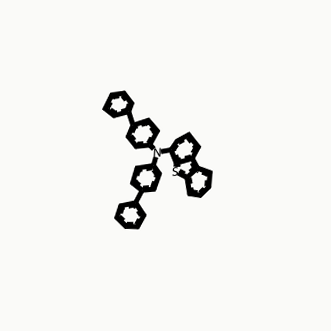 c1ccc(-c2ccc(N(c3ccc(-c4ccccc4)cc3)c3cccc4c3sc3ccccc34)cc2)cc1